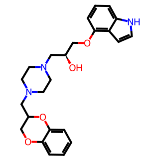 O[C@H](COc1cccc2[nH]ccc12)CN1CCN(CC2COc3ccccc3O2)CC1